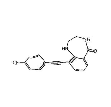 O=C1NCCNc2c(C#Cc3ccc(Cl)cc3)cccc21